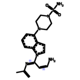 C=C(C)/N=C(\C=C/N)n1ccc2c(N3CCN(S(N)(=O)=O)CC3)cccc21